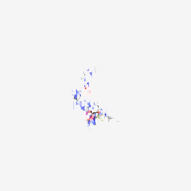 CN1CCN(C(=O)Cn2cc(Nc3nc4c(N5CC6CCC(C5)N6C(=O)c5cnc(CC(F)(F)F)s5)cccn4n3)cn2)CC1